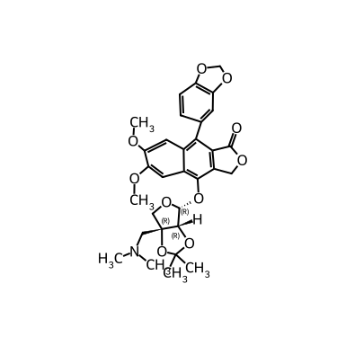 COc1cc2c(O[C@H]3OC[C@@]4(CN(C)C)OC(C)(C)O[C@@H]34)c3c(c(-c4ccc5c(c4)OCO5)c2cc1OC)C(=O)OC3